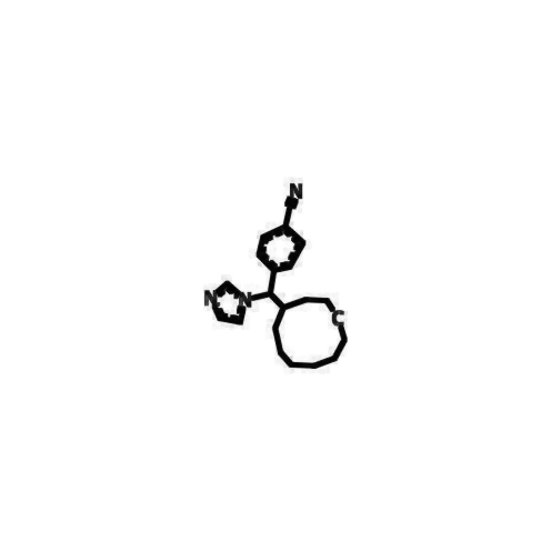 N#Cc1ccc(C(C2CCCCCCCCC2)n2ccnc2)cc1